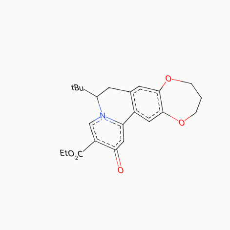 CCOC(=O)c1cn2c(cc1=O)-c1cc3c(cc1CC2C(C)(C)C)OCCCO3